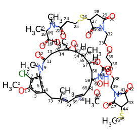 COc1cc2cc(c1Cl)N(C)C(=O)C[C@H](OC(=O)[C@@H](C)N(C)C(=O)CCSC1CC(=O)N(CCOCCOCCN3C(=O)CC(SC)C3=O)C1=O)[C@]1(C)O[C@H]1[C@H](C)[C@@H]1C[C@@](O)(NC(=O)O1)[C@H](OC)/C=C/C=C(\C)C2